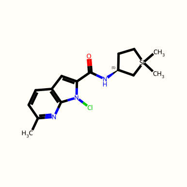 Cc1ccc2cc(C(=O)N[C@H]3CC[Si](C)(C)C3)n(Cl)c2n1